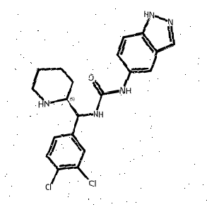 O=C(Nc1ccc2[nH]ncc2c1)NC(c1ccc(Cl)c(Cl)c1)[C@@H]1CCCCN1